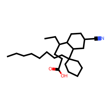 CCCCCCCCC1(C2CC(C#N)CCC2C(CC)CCC(=O)O)CCCCC1